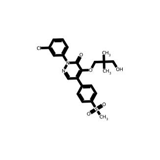 CC(C)(CO)COc1c(-c2ccc(S(C)(=O)=O)cc2)cnn(-c2cccc(Cl)c2)c1=O